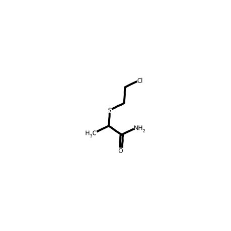 CC(SCCCl)C(N)=O